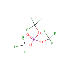 O=P(OC(F)(F)F)(OC(F)(F)F)OC(F)(F)F